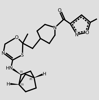 Cc1cc(C(=O)N2CCC(CC3(C)OCN=C(N[C@H]4C[C@@H]5CC[C@H]4C5)S3)CC2)no1